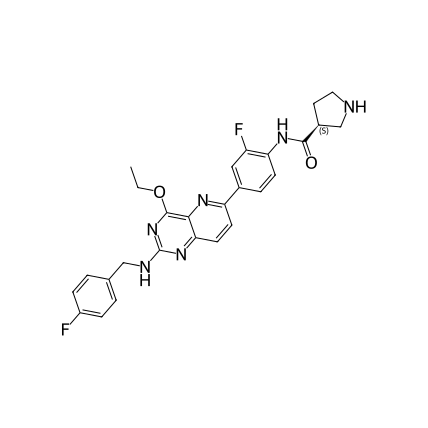 CCOc1nc(NCc2ccc(F)cc2)nc2ccc(-c3ccc(NC(=O)[C@H]4CCNC4)c(F)c3)nc12